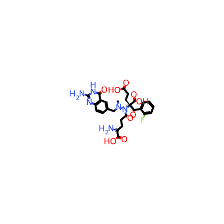 CN(Cc1ccc2nc(N)[nH]c(=O)c2c1)N(C(=O)CC[C@H](N)C(=O)O)[C@](CCC(=O)O)(C(=O)O)C(=O)c1ccccc1F